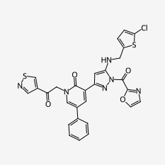 O=C(Cn1cc(-c2ccccc2)cc(-c2cc(NCc3ccc(Cl)s3)n(C(=O)c3ncco3)n2)c1=O)c1cnsc1